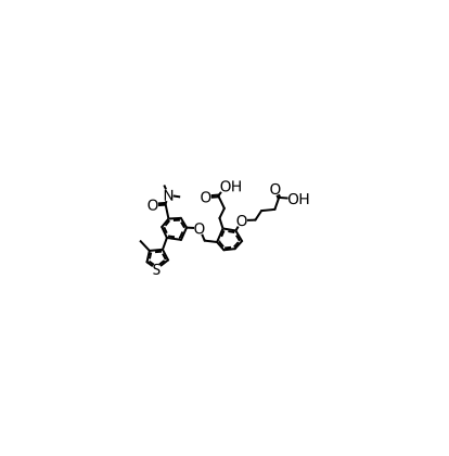 Cc1cscc1-c1cc(OCc2cccc(OCCCC(=O)O)c2CCC(=O)O)cc(C(=O)N(C)C)c1